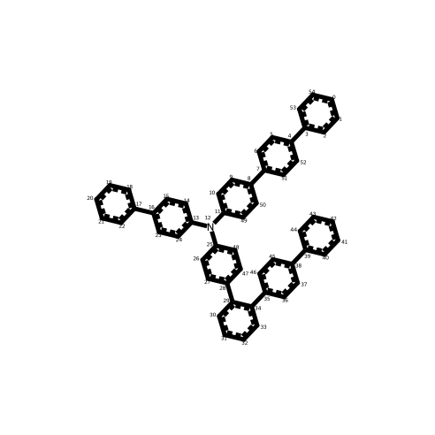 c1ccc(-c2ccc(-c3ccc(N(c4ccc(-c5ccccc5)cc4)c4ccc(-c5ccccc5-c5ccc(-c6ccccc6)cc5)cc4)cc3)cc2)cc1